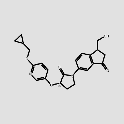 O=C1CC(CO)c2ccc(N3CC[C@@H](Oc4ccc(OCC5CC5)nc4)C3=O)cc21